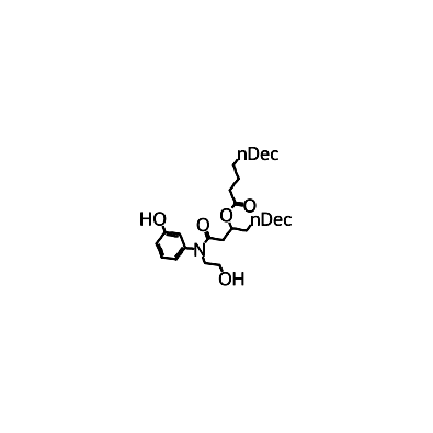 CCCCCCCCCCCCCC(=O)OC(CCCCCCCCCCC)CC(=O)N(CCO)c1cccc(O)c1